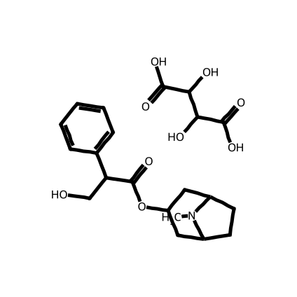 CN1C2CCC1CC(OC(=O)C(CO)c1ccccc1)C2.O=C(O)C(O)C(O)C(=O)O